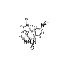 [C-]#[N+]c1ccc(C2=NC(=O)n3nc(C)c(-c4ccc(C)cc4)c32)cc1